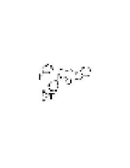 O=C1[C@H](C[C@@H]2CCc3ccccc32)C[C@@H](c2cccc(I)c2)N1c1ccc(C(F)(F)F)cc1